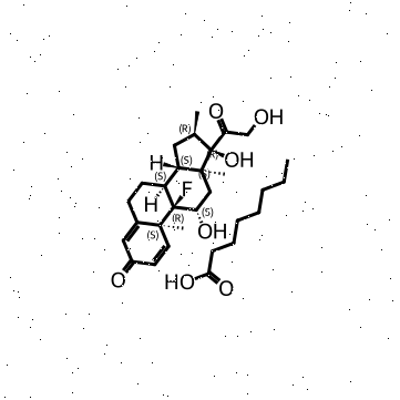 CCCCCCCC(=O)O.C[C@@H]1C[C@H]2[C@@H]3CCC4=CC(=O)C=C[C@]4(C)[C@@]3(F)[C@@H](O)C[C@]2(C)[C@@]1(O)C(=O)CO